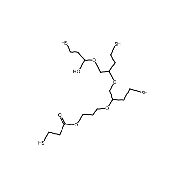 O=C(CCS)OCCCOC(CCS)COC(CCS)COC(O)CCS